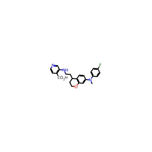 CN(c1ccc(F)cc1)c1ccc2c(c1)OCCC2CCNc1cnccc1C(=O)O